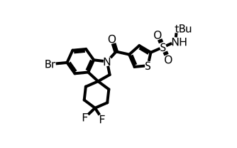 CC(C)(C)NS(=O)(=O)c1cc(C(=O)N2CC3(CCC(F)(F)CC3)c3cc(Br)ccc32)cs1